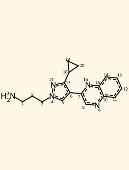 NCCCn1cc(-c2cnc3ccccc3n2)c(C2CC2)n1